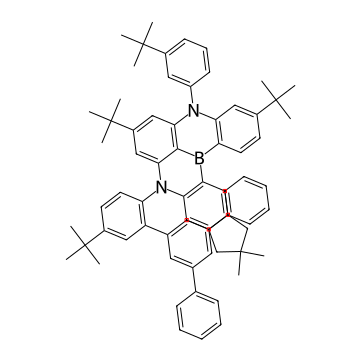 CC1(C)Cc2cc3c(cc2C1)N(c1ccc(C(C)(C)C)cc1-c1cc(-c2ccccc2)cc(-c2ccccc2)c1)c1cc(C(C)(C)C)cc2c1B3c1ccc(C(C)(C)C)cc1N2c1cccc(C(C)(C)C)c1